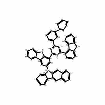 c1ccc(-c2cccc(-c3nc(-c4cc(-n5c6ccccc6c6cc7ccccc7cc65)cc5c4oc4ccccc45)nc(-c4cccc5sc6ccccc6c45)n3)c2)cc1